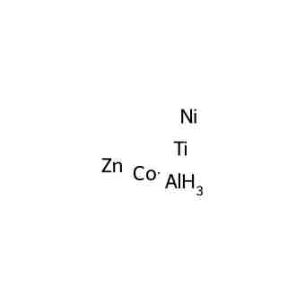 [AlH3].[Co].[Ni].[Ti].[Zn]